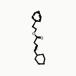 O=C(C/C=C/C1CCCCC1)OCCc1ccccc1